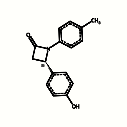 Cc1ccc(N2C(=O)C[C@H]2c2ccc(O)cc2)cc1